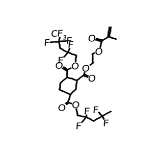 C=C(C)C(=O)OCCOC(=O)C1CC(C(=O)OCC(F)(F)CC(C)(F)F)CCC1C(=O)OCC(F)(F)CC(F)(F)C(F)(F)F